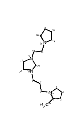 CC1CCCN1CCCN1CCN(CCN2CCCC2)C1